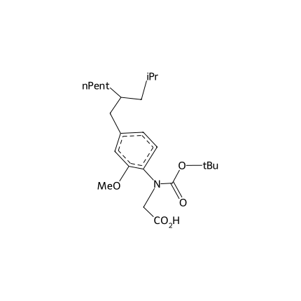 CCCCCC(Cc1ccc(N(CC(=O)O)C(=O)OC(C)(C)C)c(OC)c1)CC(C)C